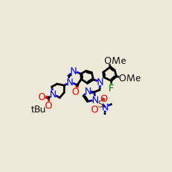 COc1cc(OC)c(F)c(N(Cc2nccn2S(=O)(=O)N(C)C)c2ccc3ncn(C4CCN(C(=O)OC(C)(C)C)CC4)c(=O)c3c2)c1